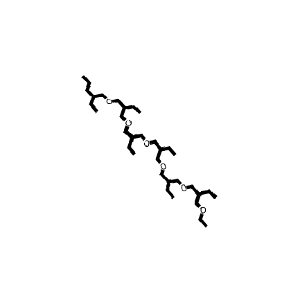 CCCC(CC)COCC(CC)COCC(CC)COCC(CC)COCC(CC)COCC(CC)COCC